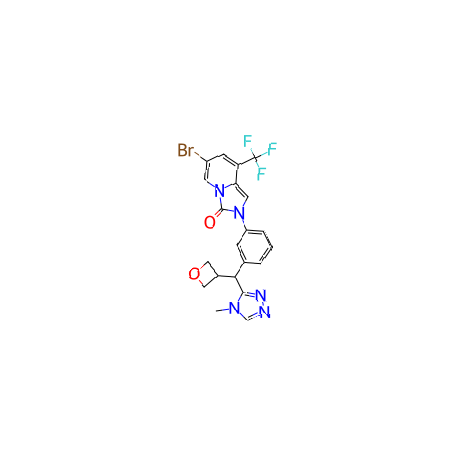 Cn1cnnc1C(c1cccc(-n2cc3c(C(F)(F)F)cc(Br)cn3c2=O)c1)C1COC1